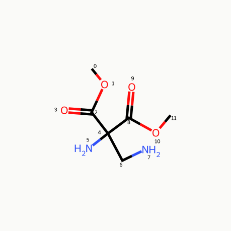 COC(=O)C(N)(CN)C(=O)OC